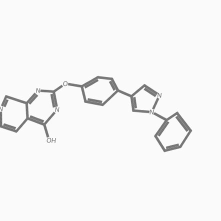 Oc1nc(Oc2ccc(-c3cnn(-c4ccccc4)c3)cc2)nc2cnccc12